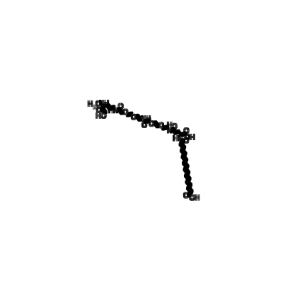 CN[C@@H](CCCNC(=O)COCCOCCNC(=O)COCCOCCNC(=O)CC[C@H](NC(=O)CCCCCCCCCCCCCCCCC(=O)O)C(=O)O)C(=O)CO